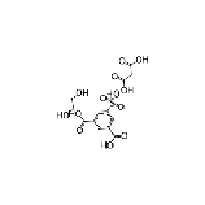 O=C(O)CC(=O)O.O=C(O)c1cc(C(=O)O)cc(S(=O)(=O)O)c1.OCCO